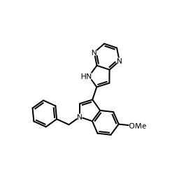 COc1ccc2c(c1)c(-c1cc3nccnc3[nH]1)cn2Cc1ccccc1